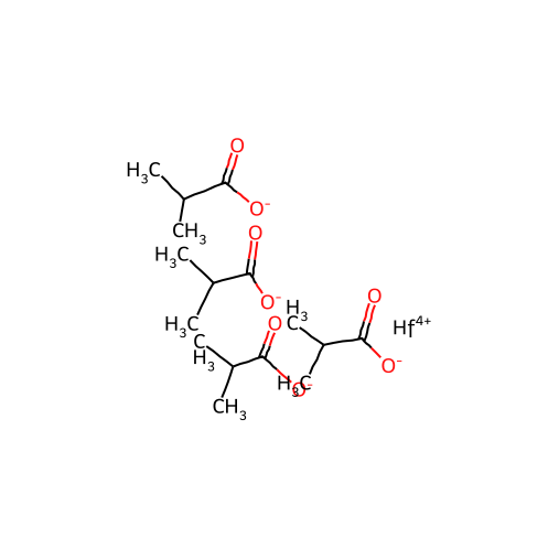 CC(C)C(=O)[O-].CC(C)C(=O)[O-].CC(C)C(=O)[O-].CC(C)C(=O)[O-].[Hf+4]